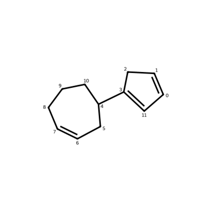 C1=CCC(C2CC=CCCC2)=C1